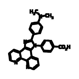 CN(C)c1ccc(-c2nc3c4cccnc4c4ncccc4c3n2-c2ccc(C(=O)O)cc2)cc1